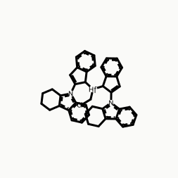 Cl[CH2][Hf]([CH]1C(n2c3c(c4ccccc42)CCCC3)=Cc2ccccc21)[CH]1C(n2c3c(c4ccccc42)CCCC3)=Cc2ccccc21